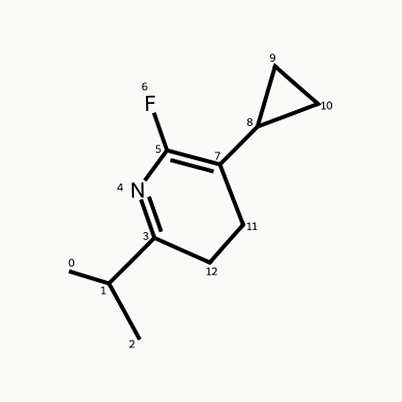 CC(C)C1=NC(F)=C(C2CC2)CC1